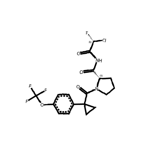 O=C(NC(=O)[C@@H]1CCCN1C(=O)C1(c2ccc(OC(F)(F)F)cc2)CC1)[C@H](F)Cl